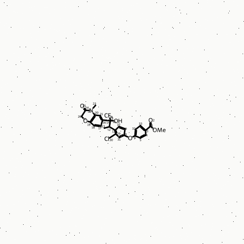 COC(=O)c1ccc(Oc2ccc(C(C)C(O)(c3ccc4c(c3)N(C)C(=O)CO4)C(F)(F)F)c(Cl)c2)cc1